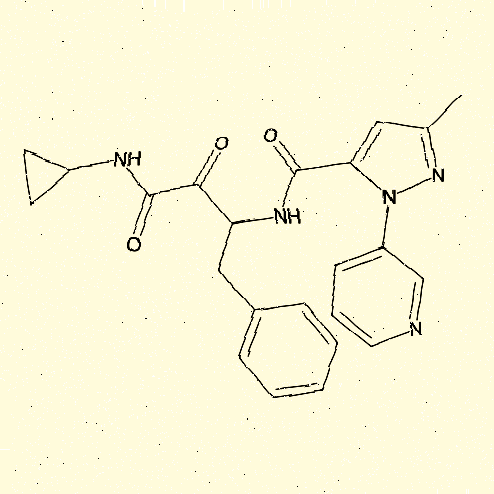 Cc1cc(C(=O)NC(Cc2ccccc2)C(=O)C(=O)NC2CC2)n(-c2cccnc2)n1